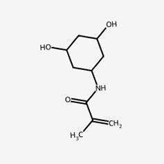 C=C(C)C(=O)NC1CC(O)CC(O)C1